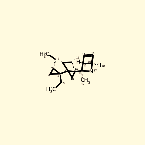 CC[C@H]1C[C@@]1(CC)C12CC[C@]1([C@@]1(C)[C@H]3C=C4[C@H]3N41)C2